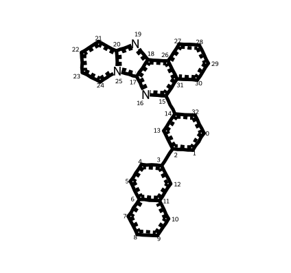 c1cc(-c2ccc3ccccc3c2)cc(-c2nc3c(nc4ccccn43)c3ccccc23)c1